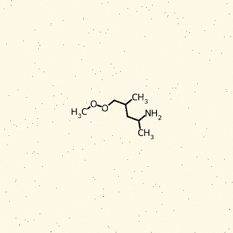 COOCC(C)CC(C)N